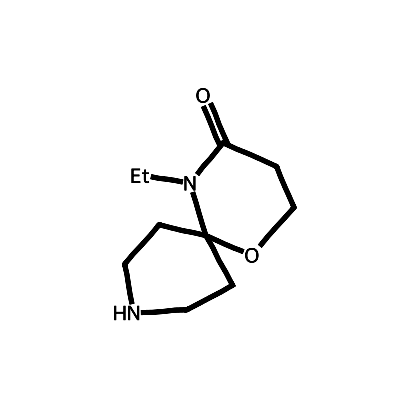 CCN1C(=O)CCOC12CCNCC2